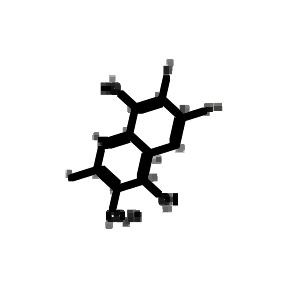 CCOC(=O)c1c(C)nc2c(O)c(F)c(F)cc2c1O